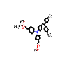 CCOCOCCc1ccc(N(c2ccc(C=C(c3ccc(CC)cc3)c3ccc(CC)cc3)cc2)c2ccc(CCOC(C)OCC)cc2)cc1